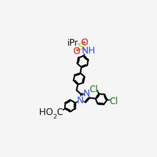 CC(C)S(=O)(=O)Nc1ccc(-c2ccc(Cc3nc(-c4ccc(Cl)cc4Cl)cn3-c3ccc(C(=O)O)cc3)cc2)cc1